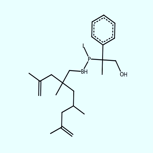 C=C(C)CC(C)CC(C)(CBP(I)C(C)(CO)c1ccccc1)CC(=C)C